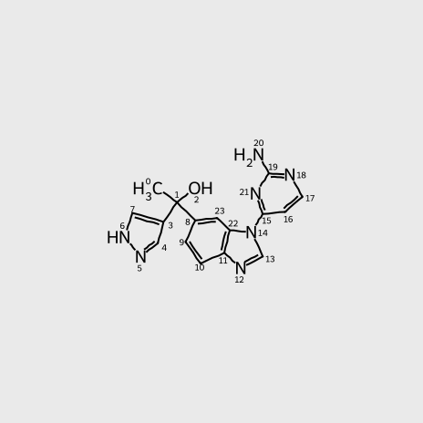 CC(O)(c1cn[nH]c1)c1ccc2ncn(-c3ccnc(N)n3)c2c1